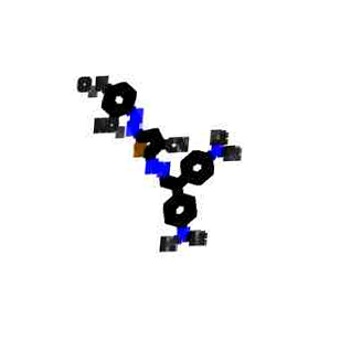 CCN(CC)c1ccc(C(=C/N=N/c2sc(/N=N/c3ccc([N+](=O)[O-])cc3[N+](=O)[O-])cc2C#N)c2ccc(N(CC)CC)cc2)cc1